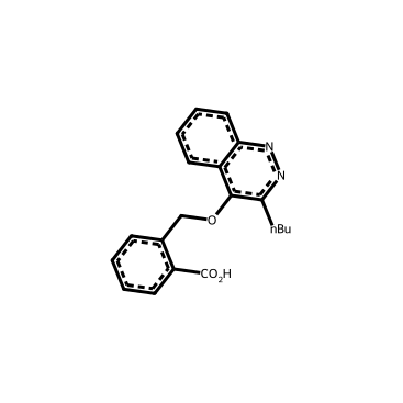 CCCCc1nnc2ccccc2c1OCc1ccccc1C(=O)O